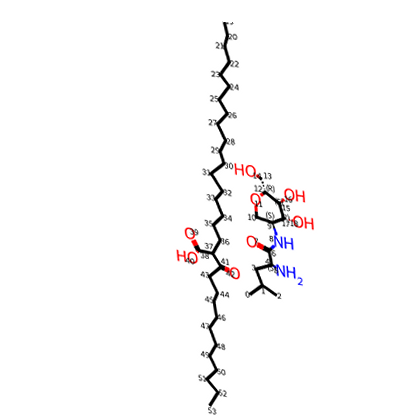 CC(C)C[C@H](N)C(=O)N[C@H]1CO[C@H](CO)[C@@H](O)[C@@H]1O.CCCCCCCCCCCCCCCCCCC(C(=O)O)C(=O)CCCCCCCCCCC